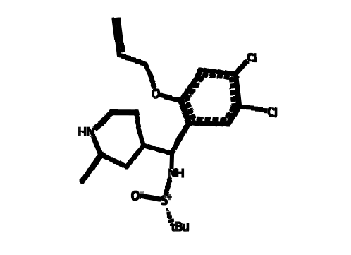 C=CCOc1cc(Cl)c(Cl)cc1C(N[S@@+]([O-])C(C)(C)C)C1CCNC(C)C1